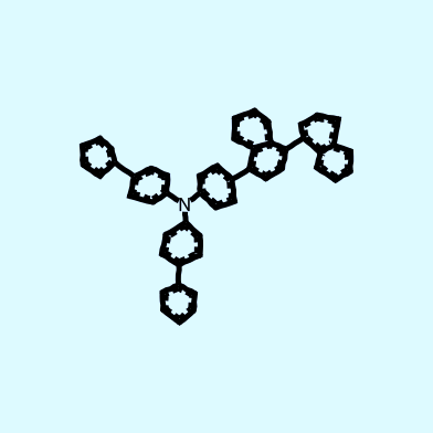 c1ccc(-c2ccc(N(c3ccc(-c4ccccc4)cc3)c3ccc(-c4ccc(-c5cccc6ccccc56)c5ccccc45)cc3)cc2)cc1